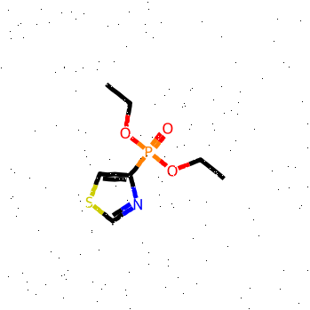 CCOP(=O)(OCC)c1cs[c]n1